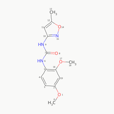 COc1ccc(NC(=O)Nc2cc(C)on2)c(OC)c1